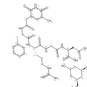 Cc1cn(CC(=O)N[C@@H](Cc2ccccc2)C(=O)N[C@@H](CCCNC(=N)N)C(=O)NCC(=O)N[C@@H](CC(=O)O)C(=O)N[C@H]2C(O)O[C@H](CO)[C@@H](O)[C@@H]2O)c(=O)[nH]c1=O